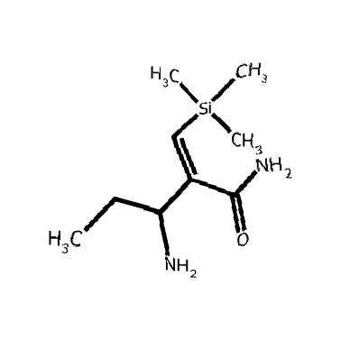 CCC(N)C(=C[Si](C)(C)C)C(N)=O